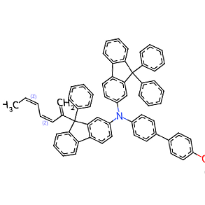 C=C(/C=C\C=C/C)C1(c2ccccc2)c2ccccc2-c2ccc(N(c3ccc(-c4ccc(OC(F)(F)F)cc4)cc3)c3ccc4c(c3)C(c3ccccc3)(c3ccccc3)c3ccccc3-4)cc21